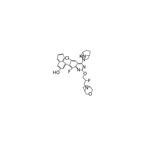 Oc1cc(-c2c(Cl)cc3c(N4CC5CCC(C4)N5)nc(OCC(F)CN4C5CCC4COC5)nc3c2F)c2ccccc2c1